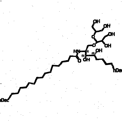 CCCCCCCCCCCCCCCCCCCCCCCCCC(=O)N[C@@H](COC(OC(CO)CO)C(O)CO)[C@H](O)[C@H](O)CCCCCCCCCCCCCC